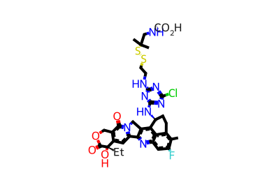 CC[C@@]1(O)C(=O)OCc2c1cc1n(c2=O)Cc2c-1nc1cc(F)c(C)c3c1c2[C@@H](Nc1nc(Cl)nc(NCCSSC(C)(C)CNC(=O)O)n1)CC3